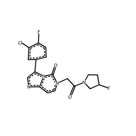 O=C(Cn1ccc2ncc(-c3ccc(F)c(Cl)c3)n2c1=O)N1CCC(F)C1